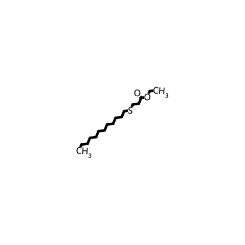 CCCCCCCCCCCCSCCC(=O)OCC